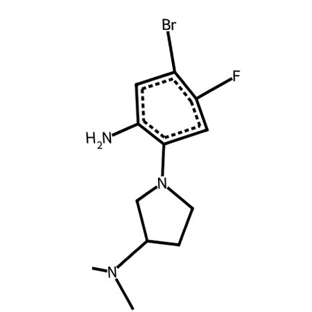 CN(C)C1CCN(c2cc(F)c(Br)cc2N)C1